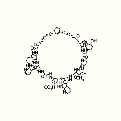 CC[C@@H]1NC(=O)C(C2CCCCC2)NC(=O)[C@H](Cc2c[nH]c3ncccc23)NC(=O)CNC(=O)[C@H](CCC(=O)O)NC(=O)[C@H](Cc2c[nH]c3ncccc23)NC(=O)[C@H]([C@@H](C)O)NC(=O)[C@H]2CCCN2C(=O)[C@H](Cc2ccc(O)cc2)NC(=O)C(C(C)(C)C)NC(=O)CCSCc2cccc(c2)CSCCNC1=O